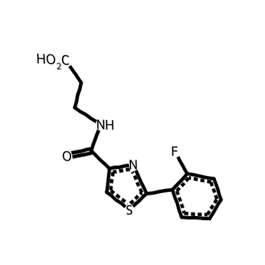 O=C(O)CCNC(=O)c1csc(-c2ccccc2F)n1